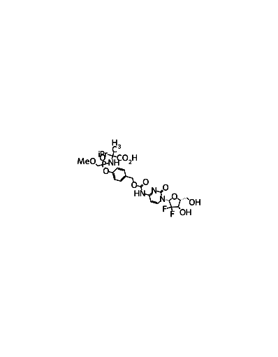 COCP(=O)(NC(C)(C(=O)O)C(C)C)Oc1ccc(COC(=O)Nc2ccn([C@@H]3O[C@H](CO)[C@@H](O)C3(F)F)c(=O)n2)cc1